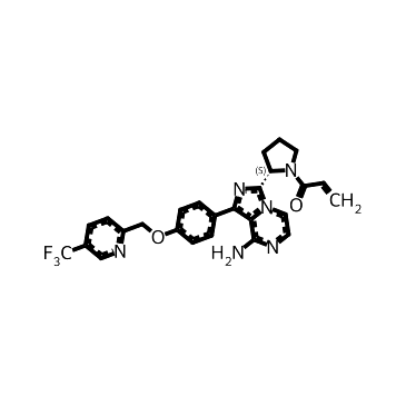 C=CC(=O)N1CCC[C@H]1c1nc(-c2ccc(OCc3ccc(C(F)(F)F)cn3)cc2)c2c(N)nccn12